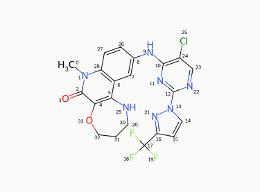 Cn1c(=O)c2c(c3cc(Nc4nc(-n5ccc(C(F)(F)F)n5)ncc4Cl)ccc31)NCCCO2